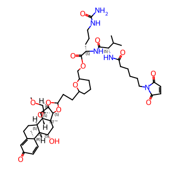 COCC(=O)[C@@]12OC(CCC3CCCC(COC(=O)[C@H](CCCNC(N)=O)NC(=O)[C@@H](NC(=O)CCCCCN4C(=O)C=CC4=O)C(C)C)O3)O[C@@H]1C[C@H]1[C@@H]3CCC4=CC(=O)C=C[C@]4(C)[C@H]3[C@@H](O)C[C@@]12C